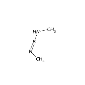 CN=BNC